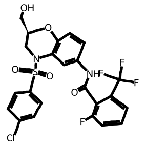 O=C(Nc1ccc2c(c1)N(S(=O)(=O)c1ccc(Cl)cc1)C[C@@H](CO)O2)c1c(F)cccc1C(F)(F)F